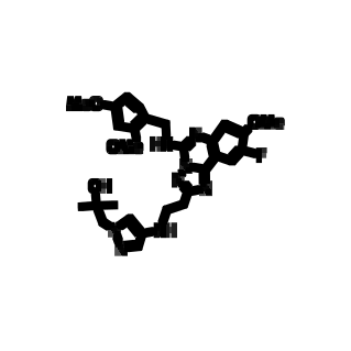 COc1ccc(CNc2nc3cc(OC)c(F)cc3c3nc(CCNc4cnn(CC(C)(C)O)c4)nn23)c(OC)c1